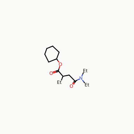 CCC(CC(=O)N(CC)CC)C(=O)OC1CCCCC1